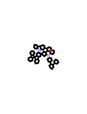 c1ccc(-c2ccccc2-c2ccc(N(c3ccccc3)c3ccccc3-c3ccccc3-c3ccc4c5ccccc5n(-c5ccc6c(c5)C(c5ccccc5)(c5ccccc5)c5ccccc5-6)c4c3)cc2)cc1